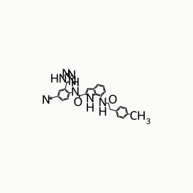 Cc1ccc(CC(=O)Nc2cccc3cc(C(=O)Nc4ccc(C#N)cc4-c4nnn[nH]4)[nH]c23)cc1